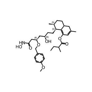 CCC(C)C(=O)OC1=C2C(CC[C@H](C)[C@@H]2CC[C@@H](O)C[C@H](CC(=O)NO)OCc2ccc(OC)cc2)CC(C)=C1